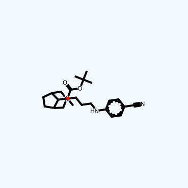 CN(C(=O)OC(C)(C)C)C1C2CCC1CN(CCCNc1ccc(C#N)cc1)C2